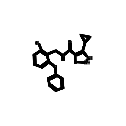 O=C(NCc1c(Cl)cccc1Oc1ccccc1)C1=C(C2CC2)NNS1